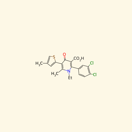 CCn1c(C)c(-c2cc(C)cs2)c(=O)c(C(=O)O)c1-c1ccc(Cl)c(Cl)c1